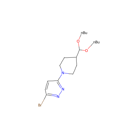 CCCCOC(OCCCC)C1CCN(c2ccc(Br)nn2)CC1